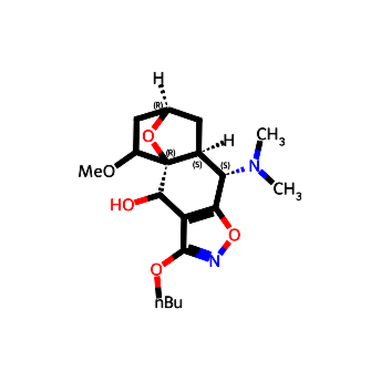 CCCCOc1noc2c1C(O)[C@@]13O[C@@H](CC1OC)C[C@H]3[C@@H]2N(C)C